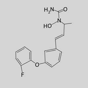 CC(C=Cc1cccc(Oc2ccccc2F)c1)N(O)C(N)=O